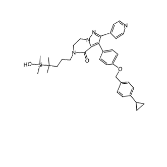 CC(C)(CCCN1CCn2nc(-c3ccncc3)c(-c3ccc(OCc4ccc(C5CC5)cc4)cc3)c2C1=O)[Si](C)(C)O